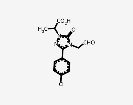 CC(C(=O)O)n1nc(-c2ccc(Cl)cc2)n(CC=O)c1=O